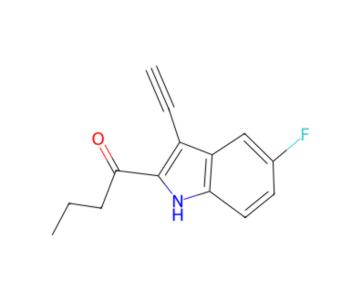 C#Cc1c(C(=O)CCC)[nH]c2ccc(F)cc12